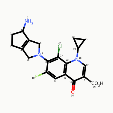 NC1CCC2=C1CN(c1c(F)cc3c(=O)c(C(=O)O)cn(C4CC4)c3c1Cl)C2